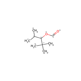 CC(C)C(OC=O)C(C)(C)C